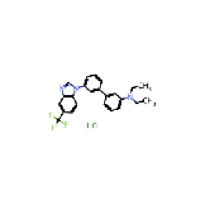 CCN(CC)c1cccc(-c2cccc(-n3cnc4cc(C(F)(F)F)ccc43)c2)c1.Cl